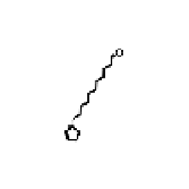 O=CCCCCCCCCCC[C@H]1C=CCC1